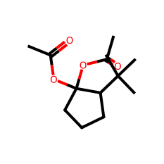 CC(=O)OC1(OC(C)=O)CCCC1C(C)(C)C